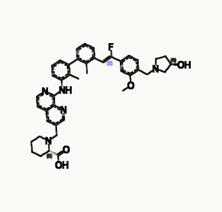 COc1cc(/C(F)=C/c2cccc(-c3cccc(Nc4nccc5cc(CN6CCCC[C@H]6C(=O)O)cnc45)c3C)c2C)ccc1CN1CC[C@@H](O)C1